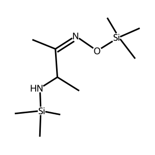 CC(=NO[Si](C)(C)C)C(C)N[Si](C)(C)C